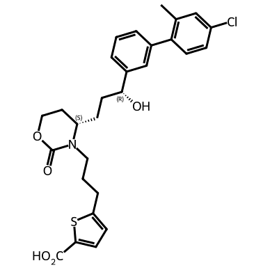 Cc1cc(Cl)ccc1-c1cccc([C@H](O)CC[C@H]2CCOC(=O)N2CCCc2ccc(C(=O)O)s2)c1